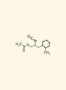 CC(=O)SCC(Cc1ccccc1C)N=C=O